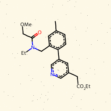 CCOC(=O)Cc1cncc(-c2ccc(C)cc2CN(CC)C(=O)COC)c1